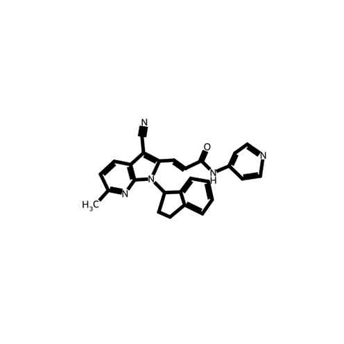 Cc1ccc2c(C#N)c(C=CC(=O)Nc3ccncc3)n(C3CCc4ccccc43)c2n1